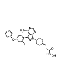 Nc1ncnc2c1c(-c1ccc(Oc3ccccc3)cc1F)nn2C1CCC(=CCC(=O)NO)CC1